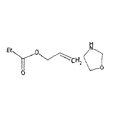 C1COCN1.C=CCOC(=O)CC